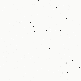 CS(=O)(=O)O.N=C(N)c1ccc2cc(OC(=O)c3ccc(CNC(=O)C4(C(=O)O)CC4)o3)ccc2c1